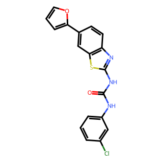 O=C(Nc1cccc(Cl)c1)Nc1nc2ccc(-c3ccco3)cc2s1